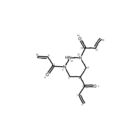 C=CC(=O)C1CN(C(=O)C=C)NN(C(=O)C=C)C1